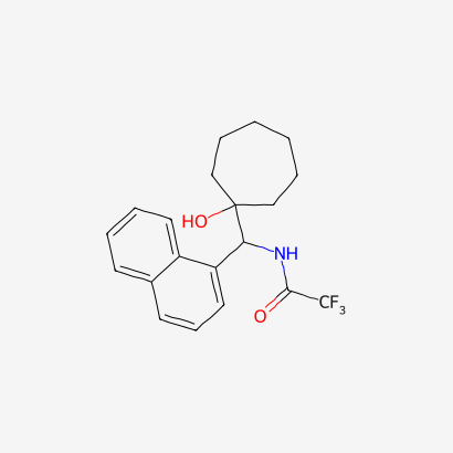 O=C(NC(c1cccc2ccccc12)C1(O)CCCCCC1)C(F)(F)F